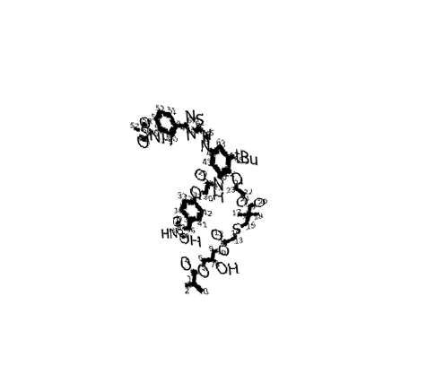 C=C(C)C(=O)OCC(O)COC(=O)CSCC(C)(C)C(=O)OCCOc1c(NC(=O)COc2ccc(CS(=N)(=O)O)cc2)cc(/N=N/c2nc(-c3cccc(NS(C)(=O)=O)c3)ns2)cc1C(C)(C)C